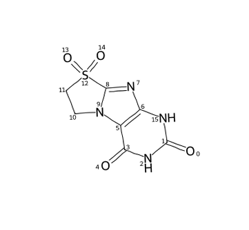 O=c1[nH]c(=O)c2c(nc3n2CCS3(=O)=O)[nH]1